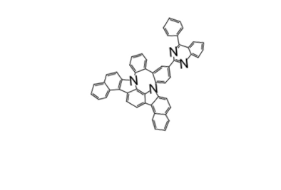 c1ccc(-c2nc(-c3ccc4c(c3)c3ccccc3n3c5ccc6ccccc6c5c5ccc6c7c8ccccc8ccc7n4c6c53)nc3ccccc23)cc1